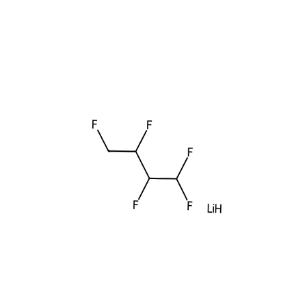 FCC(F)C(F)C(F)F.[LiH]